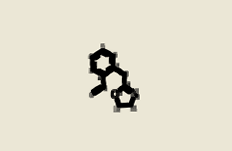 C=Cc1ccccc1CC1=NCCO1